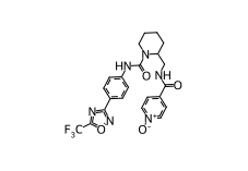 O=C(NCC1CCCCN1C(=O)Nc1ccc(-c2noc(C(F)(F)F)n2)cc1)c1cc[n+]([O-])cc1